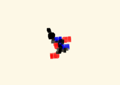 C#Cc1ccc([C@H](C)NC(=O)[C@@H]2C[C@@H](O)CN2C(=O)[C@@H](NC(C)C)C(C)(C)CCO)cc1